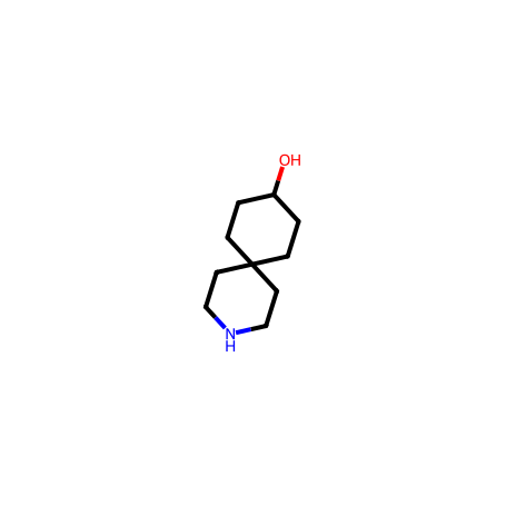 OC1CCC2(CCNCC2)CC1